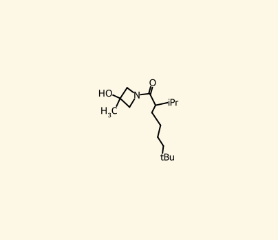 CC(C)C(CCCCC(C)(C)C)C(=O)N1CC(C)(O)C1